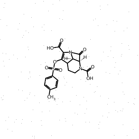 Cc1ccc(S(=O)(=O)OC2=C(C(=O)O)N3C(=O)[C@@H]4[C@H]3C2CCN4C(=O)O)cc1